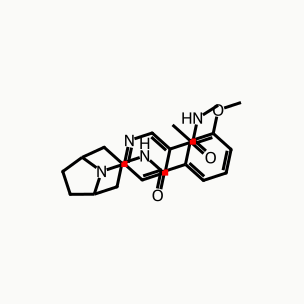 CNC(=O)c1ccc(N2C3CCC2CC(NC(=O)c2cccc(OC)c2C)C3)nc1